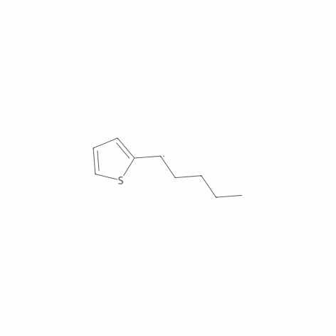 CCCC[CH]c1cccs1